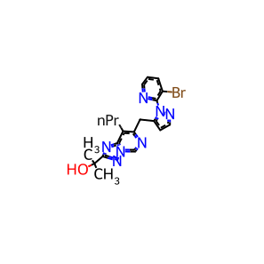 CCCc1c(Cc2ccnn2-c2ncccc2Br)ncn2nc(C(C)(C)O)nc12